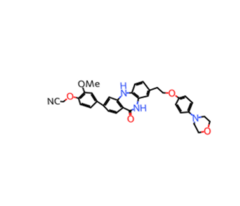 COc1cc(-c2ccc3c(c2)Nc2ccc(CCOc4ccc(N5CCOCC5)cc4)cc2NC3=O)ccc1OCC#N